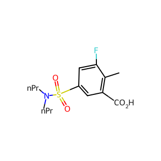 CCCN(CCC)S(=O)(=O)c1cc(F)c(C)c(C(=O)O)c1